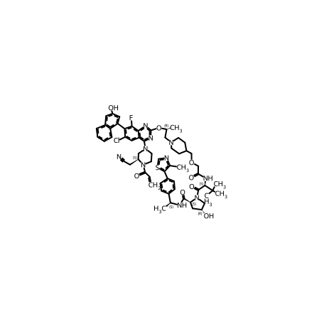 C=CC(=O)N1CCN(c2nc(O[C@H](C)CN3CCC(COCC(=O)N[C@H](C(=O)N4C[C@H](O)C[C@H]4C(=O)N[C@@H](C)c4ccc(-c5scnc5C)cc4)C(C)(C)C)CC3)nc3c(F)c(-c4cc(O)cc5ccccc45)c(Cl)cc23)C[C@@H]1CC#N